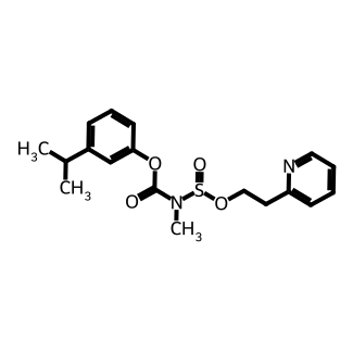 CC(C)c1cccc(OC(=O)N(C)S(=O)OCCc2ccccn2)c1